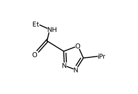 CCNC(=O)c1nnc(C(C)C)o1